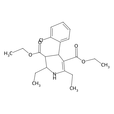 CCOC(=O)C1=C(CC)NC(CC)C(C(=O)OCC)C1c1ccccc1Cl